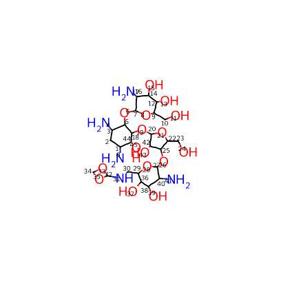 NC1CC(N)C(OC2OC(CO)C(O)C(O)C2N)C(OC2OC(CO)C(OC3OC(CNC4OCO4)C(O)C(O)C3N)C2O)C1O